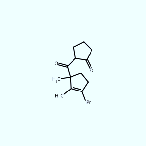 CC1=C(C(C)C)CCC1(C)C(=O)C1CCCC1=O